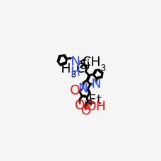 CC[C@@]1(O)C(=O)OCc2c1cc1n(c2=O)Cc2c-1nc1ccccc1c2CC[Si](C)(C)CNCc1ccccc1